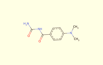 CN(C)c1ccc(C(=O)NC(N)=O)cc1